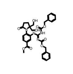 COC(=O)c1ccc(N2C(=O)CCC2(CO)CO)c(NC(=NC(=O)OCc2ccccc2)NC(=O)OCc2ccccc2)c1